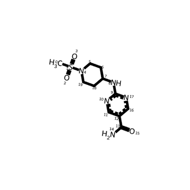 CS(=O)(=O)N1CCC(Nc2ncc(C(N)=O)cn2)CC1